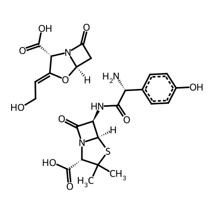 CC1(C)S[C@@H]2[C@H](NC(=O)[C@H](N)c3ccc(O)cc3)C(=O)N2[C@H]1C(=O)O.O=C(O)[C@H]1/C(=C/CO)O[C@@H]2CC(=O)N21